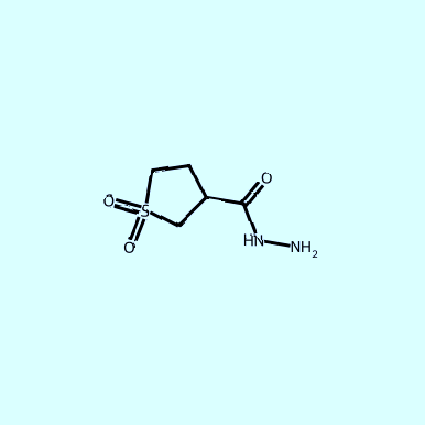 NNC(=O)C1CCS(=O)(=O)C1